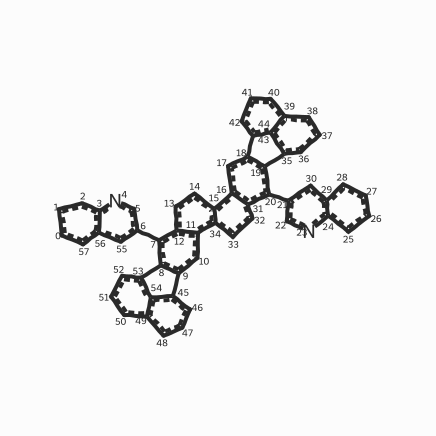 c1ccc2ncc(-c3c4c(cc5c3ccc3c6cc7c(c(-c8cnc9ccccc9c8)c6ccc53)-c3cccc5cccc-7c35)-c3cccc5cccc-4c35)cc2c1